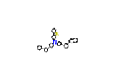 c1ccc(-c2cccc(-c3ccc(N(c4ccc(-c5cccc(-c6ccc7ccccc7c6)c5)cc4)c4ccc5c(c4)sc4ccccc45)cc3)c2)cc1